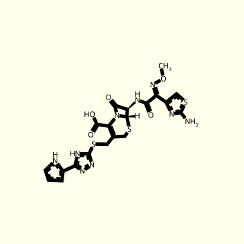 CON=C(C(=O)N[C@@H]1C(=O)N2C(C(=O)O)=C(CSc3nnc(-c4ccc[nH]4)[nH]3)CS[C@@H]12)c1csc(N)n1